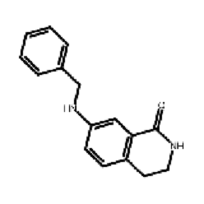 O=C1NCCc2ccc(NCc3ccccc3)cc21